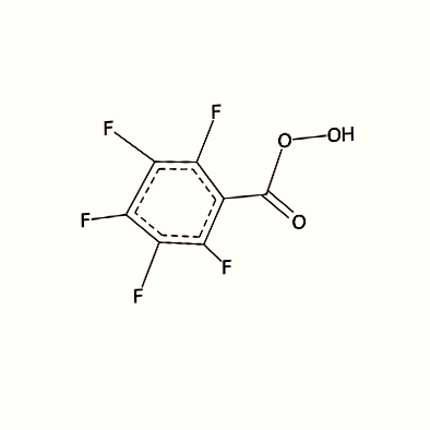 O=C(OO)c1c(F)c(F)c(F)c(F)c1F